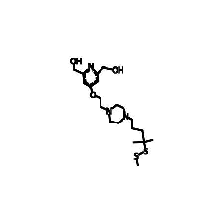 CSSC(C)(C)CCCN1CCN(CCOc2cc(CO)nc(CO)c2)CC1